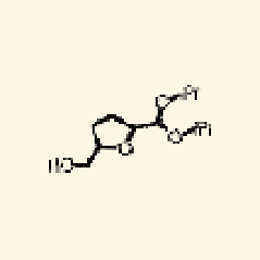 CC(C)OC(OC(C)C)C1CCC(CO)O1